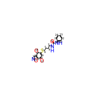 O=C(NCCCCSC1=CC(=O)c2oncc2C1=O)Nc1ccccc1